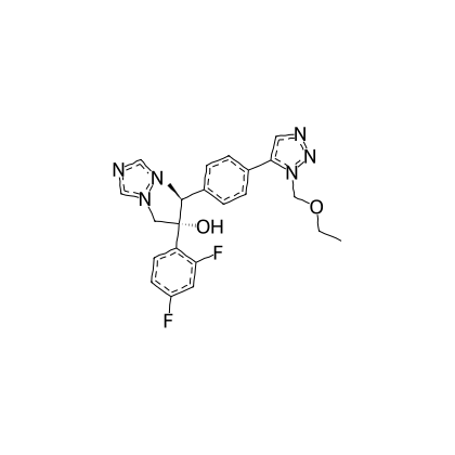 CCOCn1nncc1-c1ccc([C@H](C)[C@](O)(Cn2cncn2)c2ccc(F)cc2F)cc1